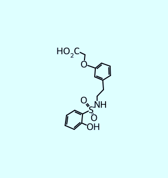 O=C(O)COc1cccc(CCNS(=O)(=O)c2ccccc2O)c1